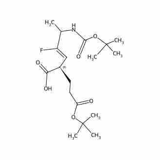 CC(NC(=O)OC(C)(C)C)C(F)=C[C@@H](CCC(=O)OC(C)(C)C)C(=O)O